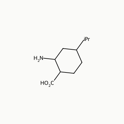 CC(C)C1CCC(C(=O)O)C(N)C1